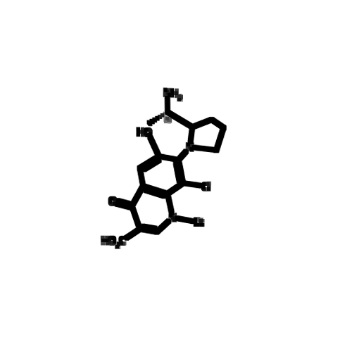 CCn1cc(C(=O)O)c(=O)c2cc(O)c(N3CCCC3[C@H](C)N)c(Cl)c21